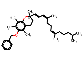 CC(=CC=C[C@]1(C)CCc2c(C)c(OCc3ccccc3)c(C)c(C)c2O1)CCC=C(C)CCCC(C)C